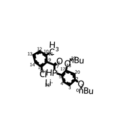 CCCCOc1ccc(PC(=O)c2c(C)cccc2Cl)c(OCCCC)c1.[Li]